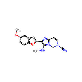 CNc1c(-c2cc3cc(OC)ccc3o2)nc2n1CN(C#N)C=C2